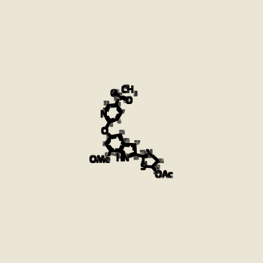 COc1cc(Oc2ccc(S(C)(=O)=O)cn2)cc2cc(C3=NCC(OC(C)=O)S3)[nH]c12